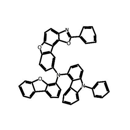 c1ccc(-c2nc3ccc4oc5ccc(N(c6cccc7c6oc6ccccc67)c6cccc7c6c6ccccc6n7-c6ccccc6)cc5c4c3o2)cc1